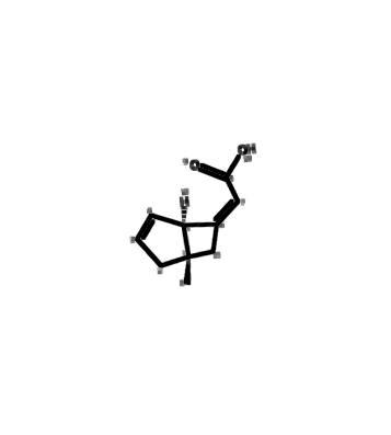 C[C@@]12CC=C[C@H]1/C(=C\C(=O)O)C2